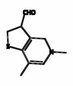 CC1=CN(C)CC2=C1SCC2C=O